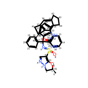 C[C@H]1Cn2ncc(S(=O)(=NC(c3ccccc3)(c3ccccc3)c3ccccc3)NC(=O)Nc3c4c(cc5c3[C@@H](C)C5)CCC4)c2O1